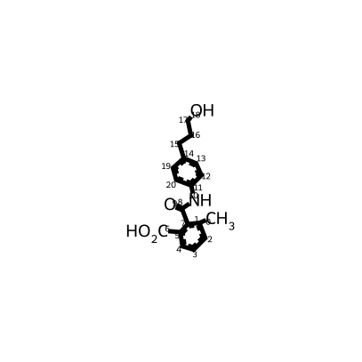 Cc1cccc(C(=O)O)c1C(=O)Nc1ccc(CCCO)cc1